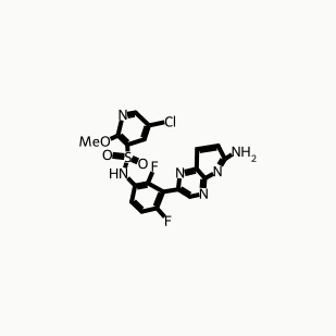 COc1ncc(Cl)cc1S(=O)(=O)Nc1ccc(F)c(-c2cnc3nc(N)ccc3n2)c1F